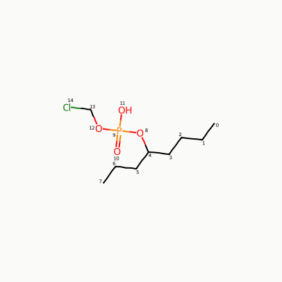 CCCCC(CCC)OP(=O)(O)OCCl